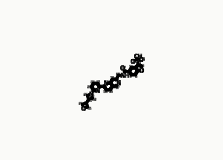 CS(=O)(=O)c1coc2ccc(C(=O)NCc3cc4nc(-c5cccc(N6CC(C7COC7)C6)n5)ccc4cn3)cc12